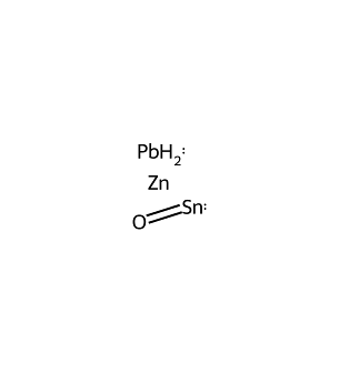 [O]=[Sn].[PbH2].[Zn]